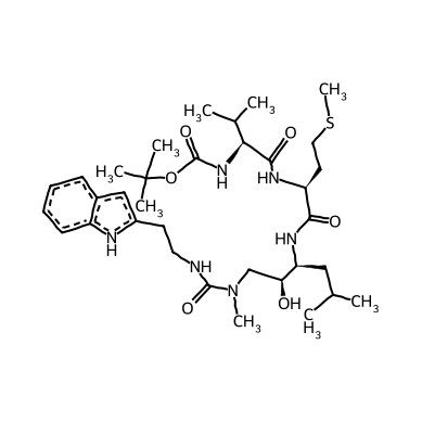 CSCC[C@H](NC(=O)[C@@H](NC(=O)OC(C)(C)C)C(C)C)C(=O)N[C@@H](CC(C)C)[C@@H](O)CN(C)C(=O)NCCc1cc2ccccc2[nH]1